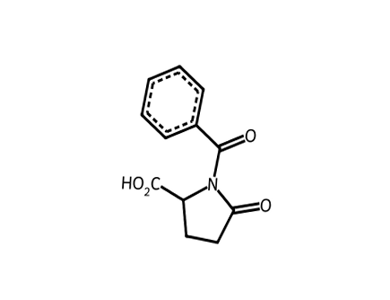 O=C(O)C1CCC(=O)N1C(=O)c1ccccc1